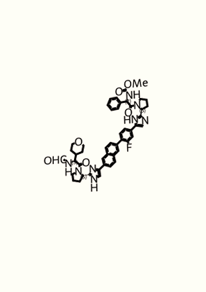 COC(=O)N[C@@H](C(=O)N1CCC[C@H]1c1ncc(-c2ccc(-c3ccc4cc(-c5c[nH]c([C@@H]6CCCN6C(=O)[C@@H](NC=O)C6CCOCC6)n5)ccc4c3)c(F)c2)[nH]1)c1ccccc1